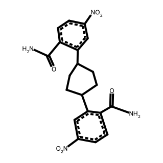 NC(=O)c1ccc([N+](=O)[O-])cc1C1CCC(c2cc([N+](=O)[O-])ccc2C(N)=O)CC1